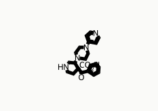 O=C(O)C1(C(=O)c2ccccc2)CCNCC1N1CCN(c2ccncc2)CC1